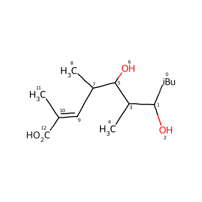 CCC(C)C(O)C(C)C(O)C(C)C=C(C)C(=O)O